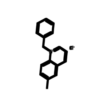 Cc1ccc2c(ccc[n+]2Cc2ccccc2)c1.[Cl-]